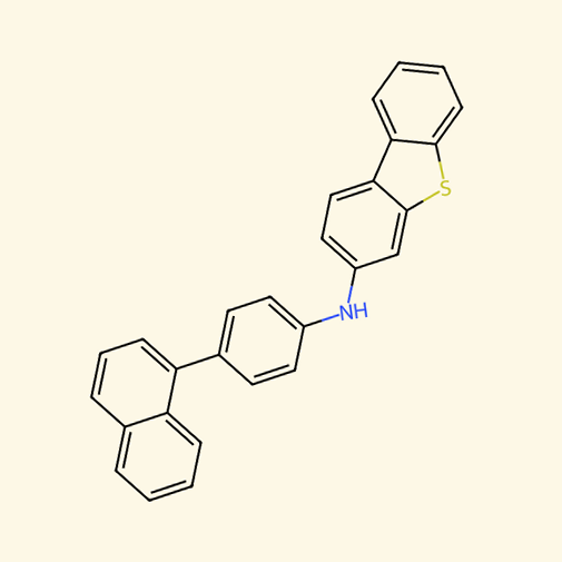 c1ccc2c(-c3ccc(Nc4ccc5c(c4)sc4ccccc45)cc3)cccc2c1